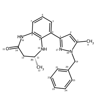 Cc1cc(-c2cccc3c2N[C@H](C)CC(=O)N3)nn1Cc1ccccc1